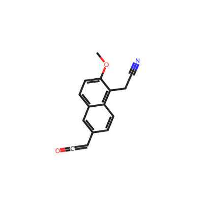 COc1ccc2cc(C=C=O)ccc2c1CC#N